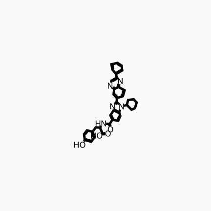 O=C(NC(Cc1ccc(O)cc1)C(=O)O)c1ccc2c(c1)nc(-c1ccc3nc(-c4ccccc4)cnc3c1)n2C1CCCCC1